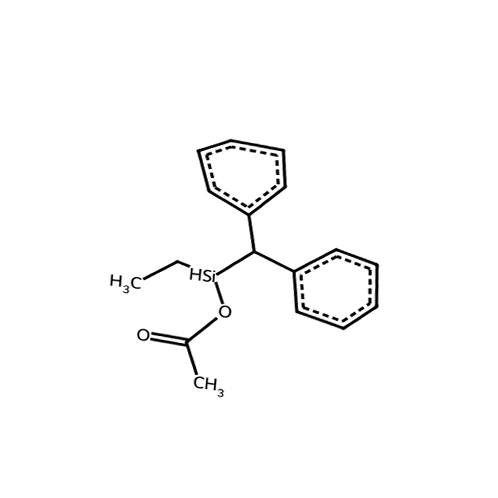 CC[SiH](OC(C)=O)C(c1ccccc1)c1ccccc1